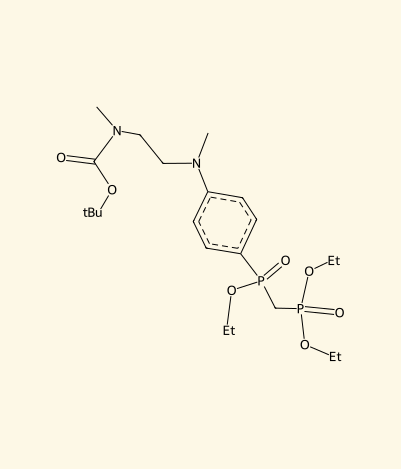 CCOP(=O)(CP(=O)(OCC)c1ccc(N(C)CCN(C)C(=O)OC(C)(C)C)cc1)OCC